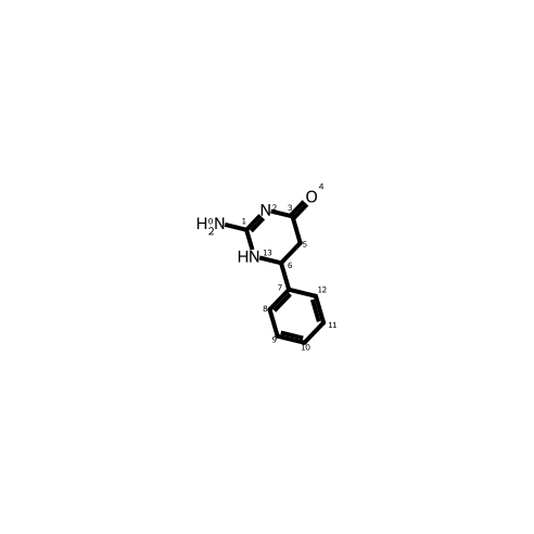 NC1=NC(=O)CC(c2ccccc2)N1